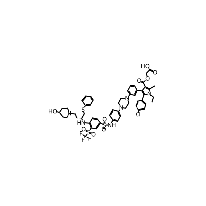 CCn1c(C)c(C(=O)OCC(=O)O)c(-c2cccc(N3CCN(c4ccc(NS(=O)(=O)c5ccc(N[C@H](CCN6CCC(O)CC6)CSc6ccccc6)c(S(=O)(=O)C(F)(F)F)c5)cc4)CC3)c2)c1-c1ccc(Cl)cc1